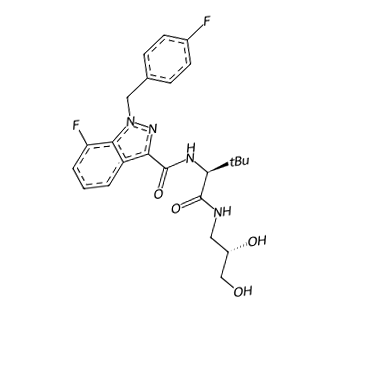 CC(C)(C)[C@H](NC(=O)c1nn(Cc2ccc(F)cc2)c2c(F)cccc12)C(=O)NC[C@H](O)CO